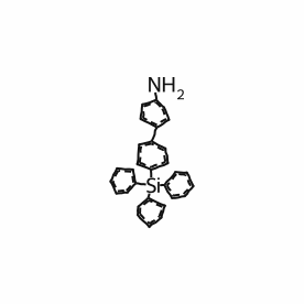 Nc1ccc(-c2ccc([Si](c3ccccc3)(c3ccccc3)c3ccccc3)cc2)cc1